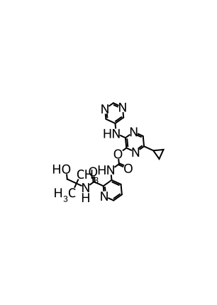 CC(C)(CO)NC(=O)c1ncccc1NC(=O)Oc1nc(C2CC2)cnc1Nc1cncnc1